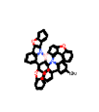 CC(C)(C)c1ccc(N2c3cc4c(oc5ccccc54)c4c3B(c3ccc5oc6ccccc6c5c32)n2c3c-4cccc3c3oc4ccccc4c32)c(-c2ccccc2)c1